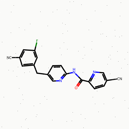 N#Cc1ccc(C(=O)Nc2ccc(Cc3cc(F)cc(C#N)c3)cn2)nc1